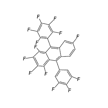 Fc1ccc2c(-c3cc(F)c(F)c(F)c3)c3c(F)c(F)c(F)c(F)c3c(-c3c(F)c(F)c(F)c(F)c3F)c2c1